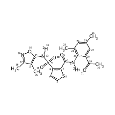 [2H]N(C(=O)c1sccc1S(=O)(=O)N([2H])c1onc(C)c1C)c1c(C)cc(C)cc1C(C)=O